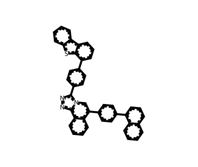 c1ccc2c(-c3ccc(-c4cn5c(-c6ccc(-c7cccc8c7sc7ccccc78)cc6)nnc5c5ccccc45)cc3)cccc2c1